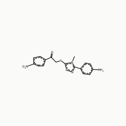 Cn1c(SCC(=O)c2ccc([N+](=O)[O-])cc2)nnc1-c1ccc(N)cc1